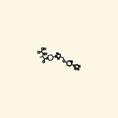 CC(NC(=O)O)C(=O)N1CCC(n2ncc(COc3ccc(-n4cnnn4)nc3)n2)CC1